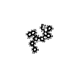 CC/C=C\C=C1/CC(C2C=C(C3=NC(c4cccc5ccccc45)=C[C@H](c4cccc(-c5ccccc5)c4)C3)C=CC2)=c2ccccc2=C1c1ccccc1